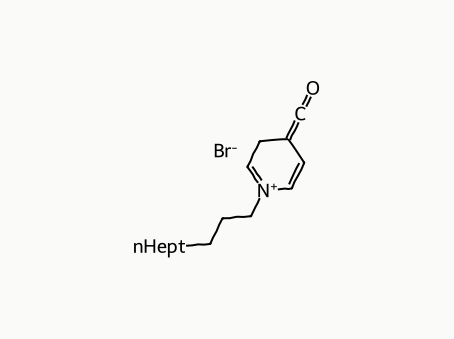 CCCCCCCCCC[N+]1=CCC(=C=O)C=C1.[Br-]